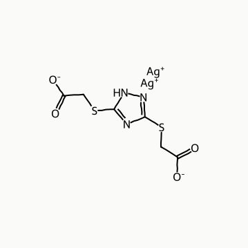 O=C([O-])CSc1n[nH]c(SCC(=O)[O-])n1.[Ag+].[Ag+]